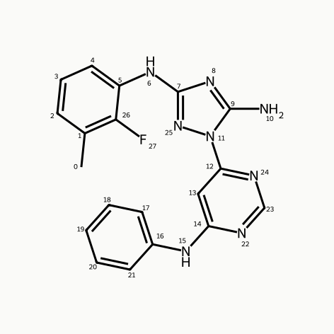 Cc1cccc(Nc2nc(N)n(-c3cc(Nc4ccccc4)ncn3)n2)c1F